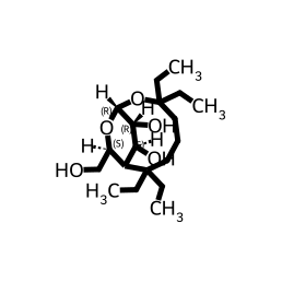 CCC1(CC)CCCC(CC)(CC)C2[C@@H](CO)O[C@H](O1)[C@H](O)[C@H]2O